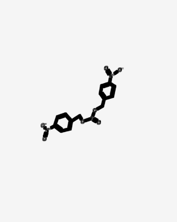 O=[N+]([O-])c1ccc(CO[P](=O)OCc2ccc([N+](=O)[O-])cc2)cc1